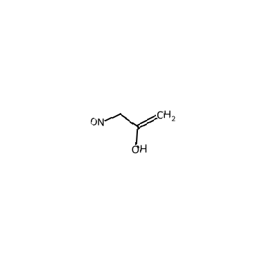 C=C(O)CN=O